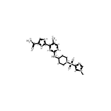 Cn1cnc(S(=O)(=O)N2CCC(Nc3ncc(C(F)(F)F)c(-c4nc(C(N)=O)cs4)n3)CC2)c1